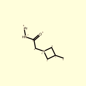 CC1CN(CC(=O)NC(C)C)C1